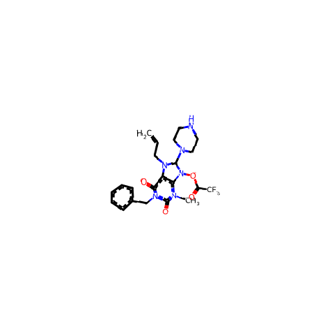 C=CCN1c2c(n(C)c(=O)n(Cc3ccccc3)c2=O)N(OC(=O)C(F)(F)F)C1N1CCNCC1